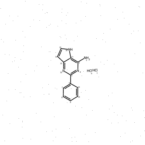 Cl.Cl.Nc1nc(-c2ccccc2)nc2cc[nH]c12